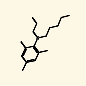 CCCCCN(CCC)c1c(C)cc(C)cc1C